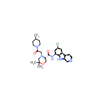 CC1(C)CN(CC(=O)N2CCC(C(F)(F)F)CC2)[C@H](C(=O)Nc2cc(Cl)cc3c2[nH]c2cnccc23)CO1